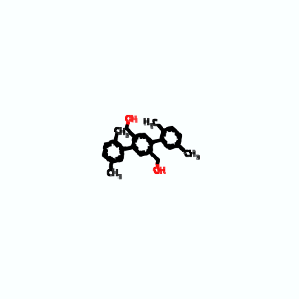 Cc1ccc(C)c(-c2cc(CO)c(-c3cc(C)ccc3C)cc2CO)c1